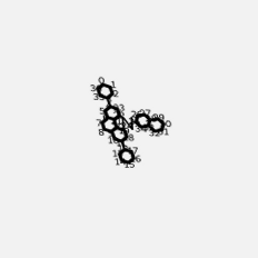 c1ccc(-c2cc3ccc4cc(-c5ccccc5)cc5c4c3c(c2)n5-c2ccc3ccccc3c2)cc1